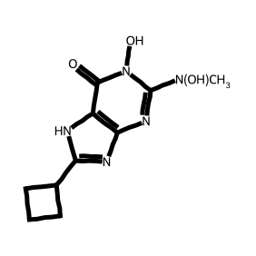 CN(O)c1nc2nc(C3CCC3)[nH]c2c(=O)n1O